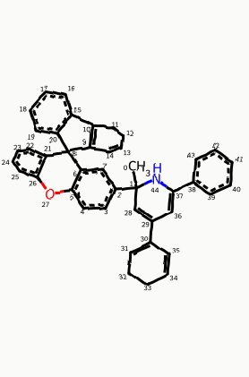 CC1(c2ccc3c(c2)C2(C4=C(CCC=C4)c4ccccc42)c2ccccc2O3)C=C(C2=CCCC=C2)C=C(c2ccccc2)N1